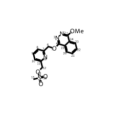 COc1nnc(OCc2cccc(COS(C)(=O)=O)n2)c2ccccc12